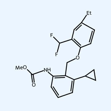 CCc1ccc(OCc2c(NC(=O)OC)cccc2C2CC2)c(C(F)F)c1